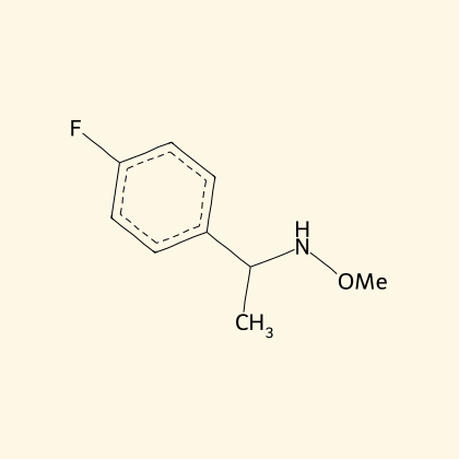 CONC(C)c1ccc(F)cc1